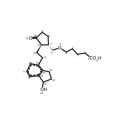 O=C(O)CCCCOC[C@H]1CCC(=O)[C@@H]1CCc1cccc2c1CCC2O